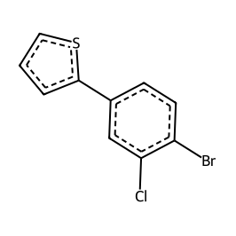 Clc1cc(-c2cccs2)ccc1Br